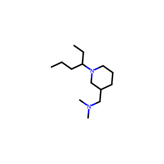 CCCC(CC)N1CCCC(CN(C)C)C1